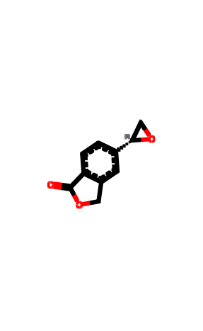 O=C1OCc2cc([C@@H]3CO3)ccc21